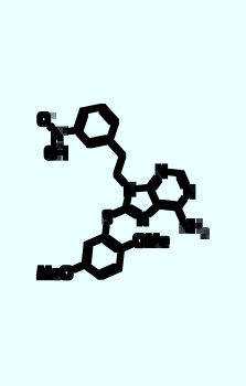 COc1ccc(OC)c(Sc2nc3c(N)ncnc3n2CCc2cccc([NH+]([O-])O)c2)c1